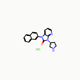 Cl.O=c1n(-c2ccc3ccccc3c2)c2cccnc2n1[C@H]1CCNC1